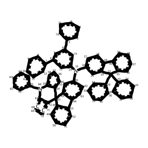 c1ccc(-c2cc(-c3ccccc3)cc(N(c3ccc4c(c3)C(c3ccccc3)(c3ccccc3)c3ccccc3-4)c3ccc4c(c3)C3(c5ccccc5-4)c4ccccc4N(c4ccccc4)c4ccccc43)c2)cc1